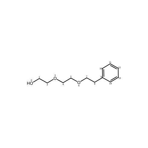 OCCOCCOCCc1ccccc1